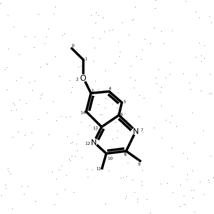 CCOc1ccc2nc(C)c(C)nc2c1